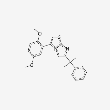 COc1ccc(OC)c(-c2csc3nc(C(C)(C)c4ccccc4)cn23)c1